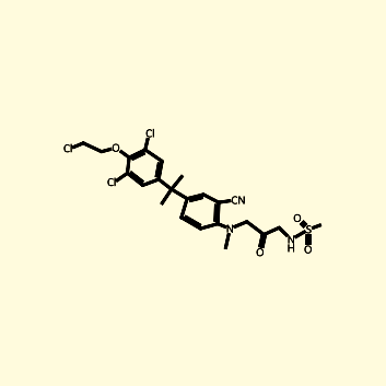 CN(CC(=O)CNS(C)(=O)=O)c1ccc(C(C)(C)c2cc(Cl)c(OCCCl)c(Cl)c2)cc1C#N